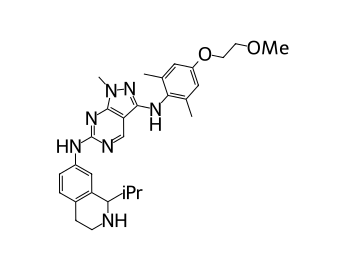 COCCOc1cc(C)c(Nc2nn(C)c3nc(Nc4ccc5c(c4)C(C(C)C)NCC5)ncc23)c(C)c1